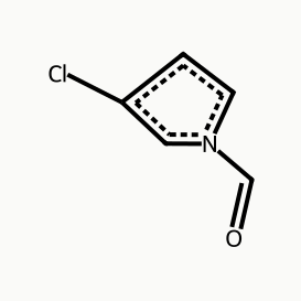 O=Cn1ccc(Cl)c1